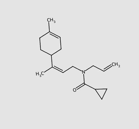 C=CCN(C/C=C(/C)C1CC=C(C)CC1)C(=O)C1CC1